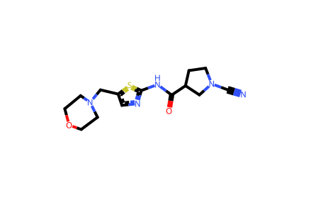 N#CN1CCC(C(=O)Nc2ncc(CN3CCOCC3)s2)C1